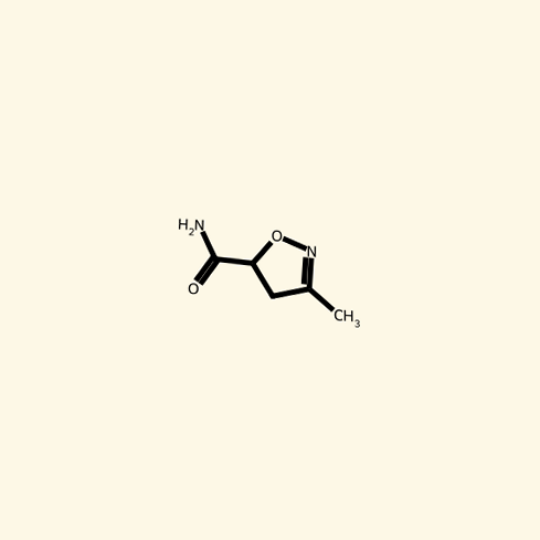 CC1=NOC(C(N)=O)C1